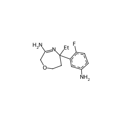 CCC1(c2cc(N)ccc2F)CCOCC(N)=N1